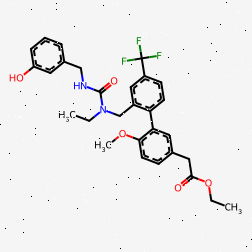 CCOC(=O)Cc1ccc(OC)c(-c2ccc(C(F)(F)F)cc2CN(CC)C(=O)NCc2cccc(O)c2)c1